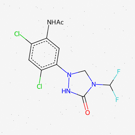 CC(=O)Nc1cc(N2CN(C(F)F)C(=O)N2)c(Cl)cc1Cl